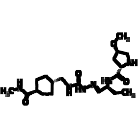 CC[C@@H](/C=N/NC(=O)NC[C@H]1CC[C@H](C(=O)NC)CC1)NC(=O)[C@@H]1C[C@@H](OC)CN1